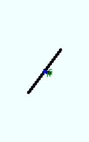 CCCCCCCCCCCCCCCCCCN(CCCCCCCCCCCCCCCCCC)CCC(F)(F)F